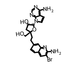 Nc1nc2cc(CCC3(CO)C[C@@H](O)[C@H](n4ccc5c(N)ncnc54)O3)ccc2cc1Br